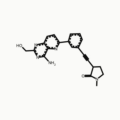 CN1CCC(C#Cc2cccc(-c3ccc4nc(CO)nc(N)c4n3)c2)C1=O